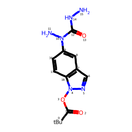 CC(C)(C)C(=O)On1ncc2cc(N(N)C(=O)NN)ccc21